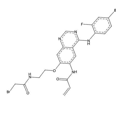 C=CC(=O)Nc1cc2c(Nc3ccc(Br)cc3F)ncnc2cc1OCCNC(=O)CBr